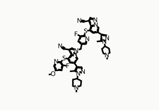 COc1cnc(Sc2cc(-c3cnn(C4CCN(C)CC4)c3C)cn3c2c(C#N)c[n+]3Cc2cnc(Sc3cc(-c4cnn(C5CCN(C)CC5)c4C)cn4ncc(C#N)c34)c(F)c2)c(F)c1